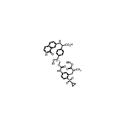 CCO[C@@H](COC(=O)Nc1ccc(S(=O)(=O)C2CC2)c(CN(C)C(=O)OC(C)(C)C)c1)c1ccc(C(Nc2ccc3cc[nH]c(=O)c3c2)C(=O)O)cc1